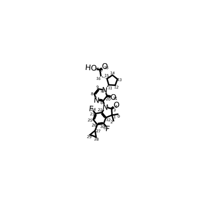 CC1(C)C(=O)N(c2nccn([C@H]3CCC[C@H]3CC(=O)O)c2=O)c2c(F)cc(C3CC3)c(F)c21